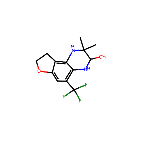 CC1(C)Nc2c3c(cc(C(F)(F)F)c2NC1O)OCC3